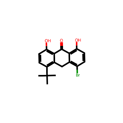 CC(C)(C)c1ccc(O)c2c1Cc1c(Br)ccc(O)c1C2=O